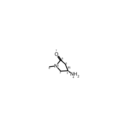 CN1C[C@H](N)CC1=O